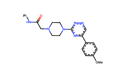 COc1ccc(-c2cnnc(N3CCN(CC(=O)NC(C)C)CC3)n2)cc1